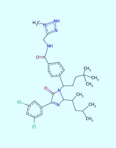 CC(C)CC(C)C1N=C(c2cc(Cl)cc(Cl)c2)C(=O)N1C(CCC(C)(C)C)c1ccc(C(=O)NCc2n[nH]n2C)cc1